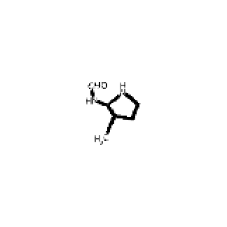 CC1CCNC1NC=O